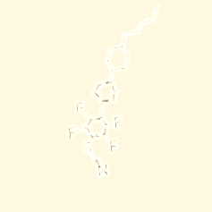 CCCCCC1CCC(c2ccc(-c3c(F)c(F)c(SC#N)c(F)c3F)cc2)CC1